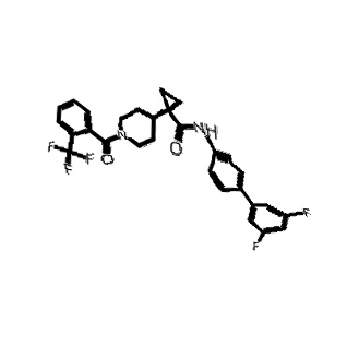 O=C(c1ccccc1C(F)(F)F)N1CCC(C2(C(=O)Nc3ccc(-c4cc(F)cc(F)c4)cc3)CC2)CC1